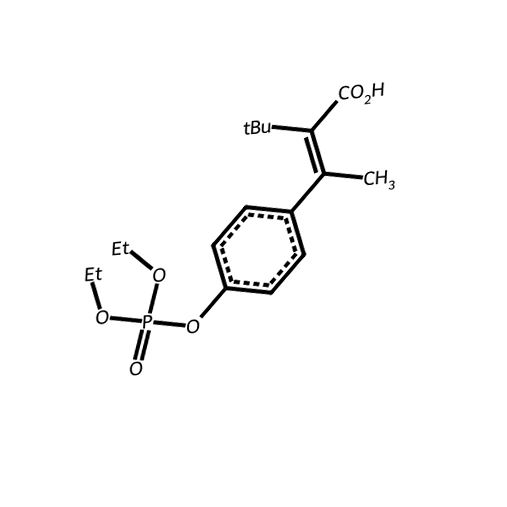 CCOP(=O)(OCC)Oc1ccc(C(C)=C(C(=O)O)C(C)(C)C)cc1